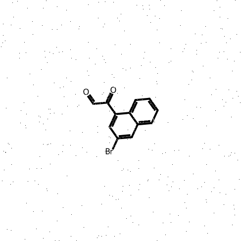 O=CC(=O)c1cc(Br)cc2ccccc12